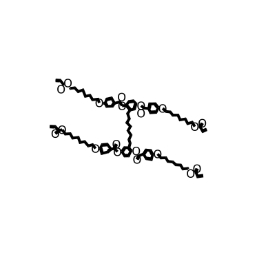 C=CC(=O)OCCCCCCCCOc1ccc(C(=O)Oc2ccc(OC(=O)c3ccc(OCCCCCCCCOC(=O)C=C)cc3)c(CCCCCCCCc3cc(OC(=O)c4ccc(OCCCCCCCCOC(=O)C=C)cc4)ccc3OC(=O)c3ccc(OCCCCCCCCOC(=O)C=C)cc3)c2)cc1